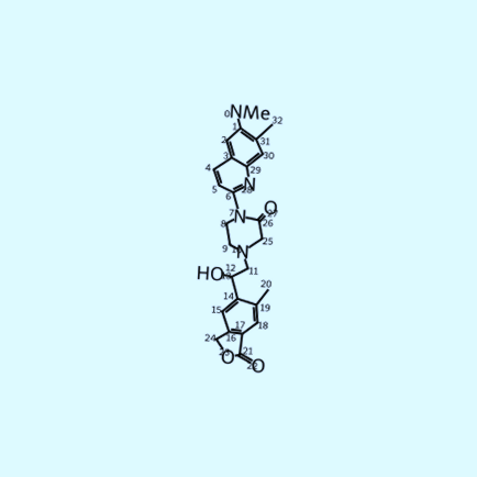 CNc1cc2ccc(N3CCN(CC(O)c4cc5c(cc4C)C(=O)OC5)CC3=O)nc2cc1C